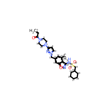 C=CC(=O)N1CCN(c2ccn(Cc3cc(C)c4c(NS(=O)(=O)CC5CCCCC5)noc4c3)n2)CC1